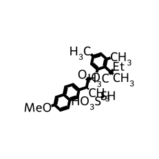 CCC(C)(C)c1c(C)cc(C)cc1OC(=O)[C@@H](C)c1ccc2cc(OC)ccc2c1.O=S(=O)(O)S